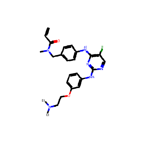 C=CC(=O)N(C)Cc1ccc(Nc2nc(Nc3cccc(OCCN(CC)CC)c3)ncc2F)cc1